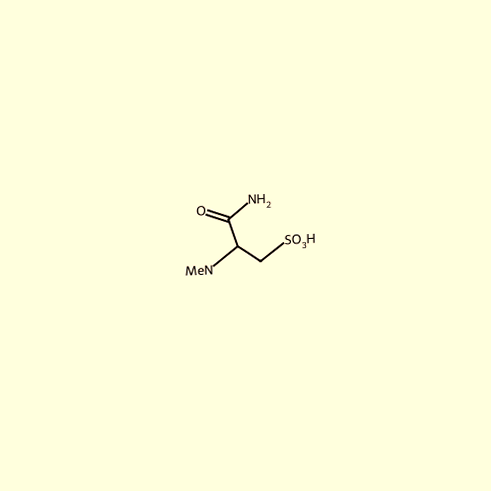 CNC(CS(=O)(=O)O)C(N)=O